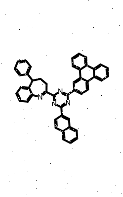 c1ccc(C2CCC(c3nc(-c4ccc5ccccc5c4)nc(-c4ccc5c6ccccc6c6ccccc6c5c4)n3)=Nc3ccccc32)cc1